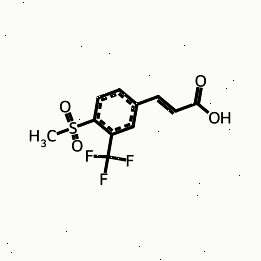 CS(=O)(=O)c1ccc(C=CC(=O)O)cc1C(F)(F)F